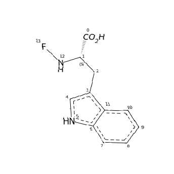 O=C(O)[C@H](Cc1c[nH]c2ccccc12)NF